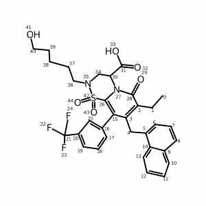 CCc1c(Cc2cccc3ccccc23)c(-c2cccc(C(F)(F)F)c2)c2n(c1=O)C(C(=O)O)CN(CCCCCO)S2(=O)=O